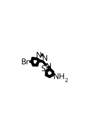 Nc1ccc2sc(-c3ncnc4cc(Br)ccc34)nc2c1